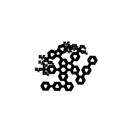 CC(C)(C)c1ccc(N2c3ccc(-c4ccccc4-c4ccc(-c5ccccc5)cc4)cc3B3c4cc(-c5ccccc5-c5ccc(-c6ccccc6)cc5)ccc4N(c4ccc(C(C)(C)C)cc4)c4cc(-n5c6cc(C(C)(C)C)ccc6c6ccc(C(C)(C)C)cc65)cc2c43)cc1